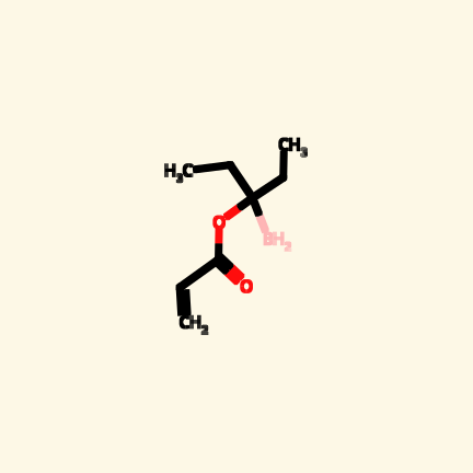 BC(CC)(CC)OC(=O)C=C